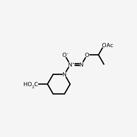 CC(=O)OC(C)ON=[N+]([O-])N1CCCC(C(=O)O)C1